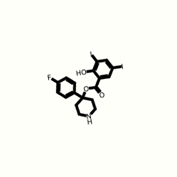 O=C(OC1(c2ccc(F)cc2)CCNCC1)c1cc(I)cc(I)c1O